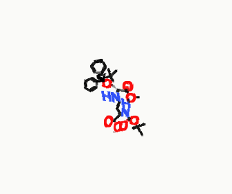 COC(=O)C(CCN[C@H](CO[Si](c1ccccc1)(c1ccccc1)C(C)(C)C)C(=O)OC)NC(=O)OC(C)(C)C